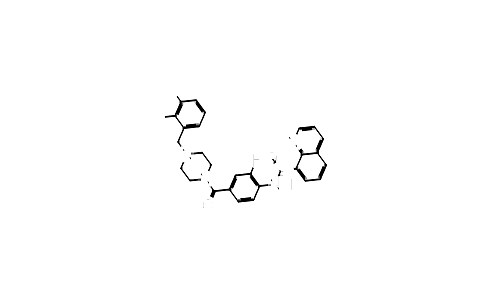 O=C(c1ccc(N[S+]([O-])c2cccc3cccnc23)c(F)c1)N1CCN(Cc2cccc(F)c2F)CC1